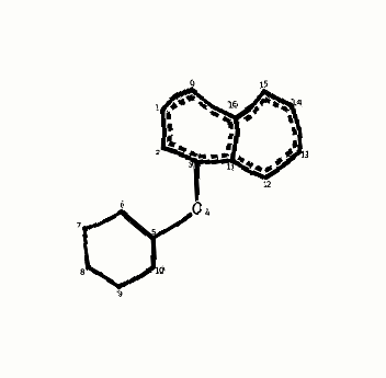 [c]1ccc(OC2CCCCC2)c2ccccc12